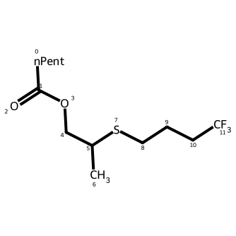 CCCCCC(=O)OCC(C)SCCCC(F)(F)F